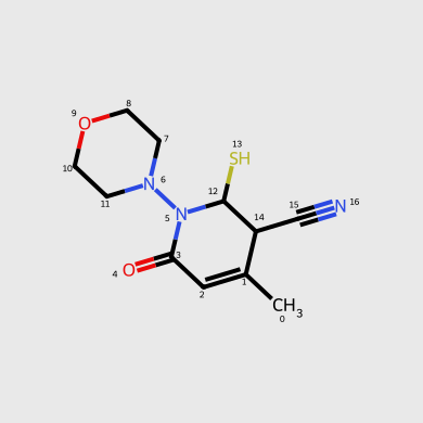 CC1=CC(=O)N(N2CCOCC2)C(S)C1C#N